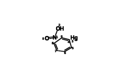 O=NO.[Hg].c1ccccc1